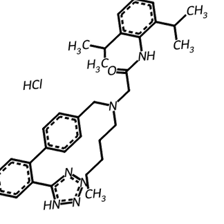 CCCCCN(CC(=O)Nc1c(C(C)C)cccc1C(C)C)Cc1ccc(-c2ccccc2-c2nnn[nH]2)cc1.Cl